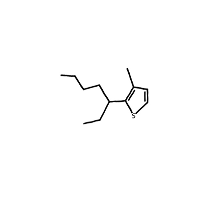 CCCCC(CC)c1sccc1C